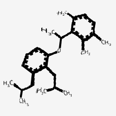 [CH2]c1ccc(C)c(C)c1C(C)Oc1cccc(CC(C)C)c1CC(C)C